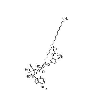 CCCCCCCCCCCCCCCCCCC[C@H](COP(=O)(O)OC[C@@]1(C#N)O[C@@H](c2ccc3c(N)ncnn23)[C@H](O)[C@@H]1O)Oc1ccc(C#N)c(OC(C)C)c1